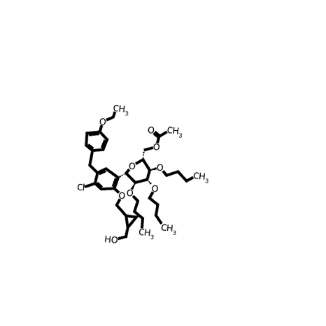 CCCCO[C@@H]1[C@@H](OCCCC)[C@H](c2cc(Cc3ccc(OCC)cc3)c(Cl)cc2OCC2CC2CO)O[C@H](COC(C)=O)[C@H]1OCCCC